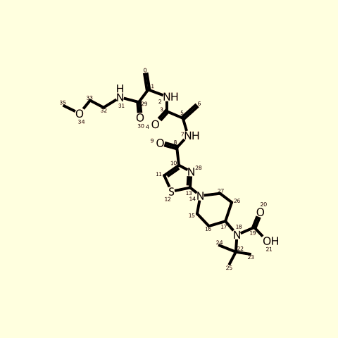 C=C(NC(=O)C(=C)NC(=O)c1csc(N2CCC(N(C(=O)O)C(C)(C)C)CC2)n1)C(=O)NCCOC